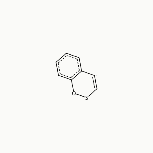 [C]1=CSOc2ccccc21